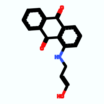 O=C1c2ccccc2C(=O)c2c(NCC=CO)cccc21